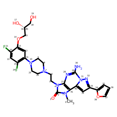 Cn1c(=O)n(CCN2CCN(c3cc(OC[C@H](O)CO)c(F)cc3F)CC2)c2nc(N)n3nc(-c4ccco4)cc3c21